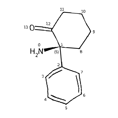 N[C@]1(c2ccccc2)CCCCC1=O